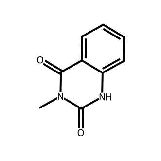 Cn1c(=O)[nH]c2ccccc2c1=O